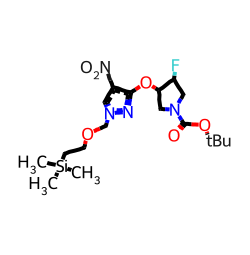 CC(C)(C)OC(=O)N1CC(F)C(Oc2nn(COCC[Si](C)(C)C)cc2[N+](=O)[O-])C1